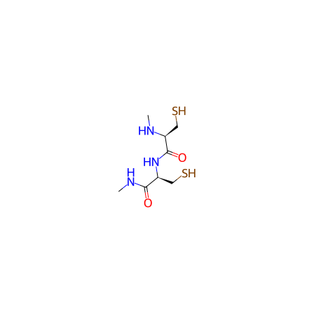 CNC(=O)[C@H](CS)NC(=O)[C@H](CS)NC